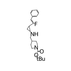 CC(C)(C)OC(=O)N1CCC(CNC2CC2/C(F)=C/c2ccccc2)CC1